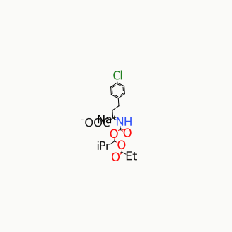 CCC(=O)OC(OC(=O)NC(CCc1ccc(Cl)cc1)C(=O)[O-])C(C)C.[Na+]